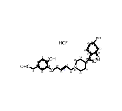 Cl.O=CCc1ccc(O)c(OC/C=C/CN2CCC(c3onc4cc(F)ccc34)CC2)c1